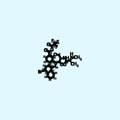 CN[C@@H](C)C(=O)N[C@H]1COc2c(C(=O)OC(=O)C(F)(F)F)cccc2N(Cc2ccc(Br)c3ccccc23)C1=O